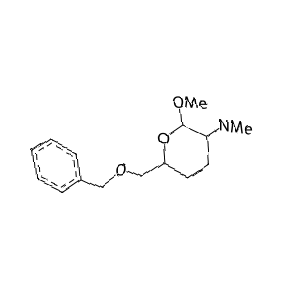 CNC1CCC(COCc2ccccc2)OC1OC